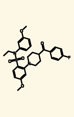 CCN(c1cccc(OC)c1)S(=O)(=O)c1ccc(OC)cc1N1CCC(C(=O)c2ccc(F)cc2)CC1